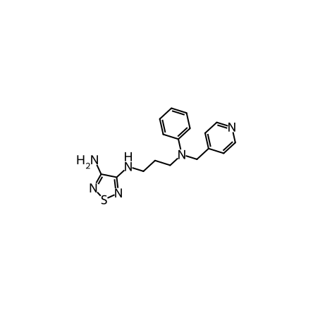 Nc1nsnc1NCCCN(Cc1ccncc1)c1ccccc1